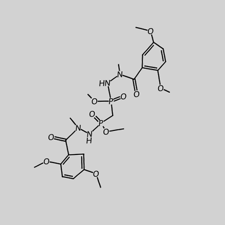 COc1ccc(OC)c(C(=O)N(C)NP(=O)(CP(=O)(NN(C)C(=O)c2cc(OC)ccc2OC)OC)OC)c1